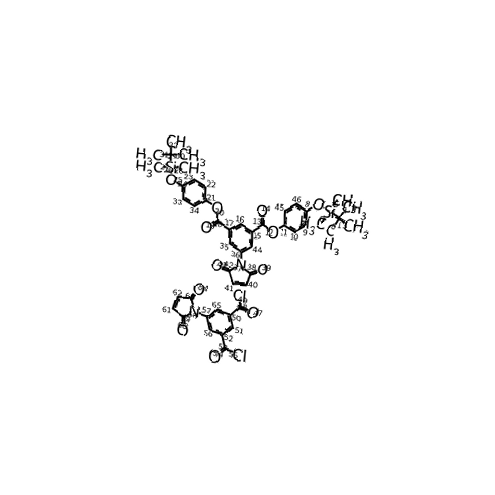 CC(C)(C)[Si](C)(C)Oc1ccc(OC(=O)c2cc(C(=O)Oc3ccc(O[Si](C)(C)C(C)(C)C)cc3)cc(N3C(=O)C=CC3=O)c2)cc1.O=C(Cl)c1cc(C(=O)Cl)cc(N2C(=O)C=CC2=O)c1